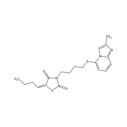 CCC/C=C1/SC(=O)N(CCCCSc2cccc3nc(C)cn23)C1=O